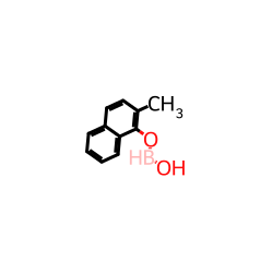 Cc1ccc2ccccc2c1OBO